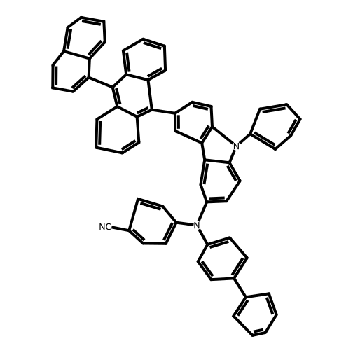 N#Cc1ccc(N(c2ccc(-c3ccccc3)cc2)c2ccc3c(c2)c2cc(-c4c5ccccc5c(-c5cccc6ccccc56)c5ccccc45)ccc2n3-c2ccccc2)cc1